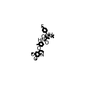 COc1cc2nccc(Oc3ccc(NC(=O)/C(=C/NC(C)C)C(=O)Nc4ccc(F)cc4)cc3C)c2cc1OC